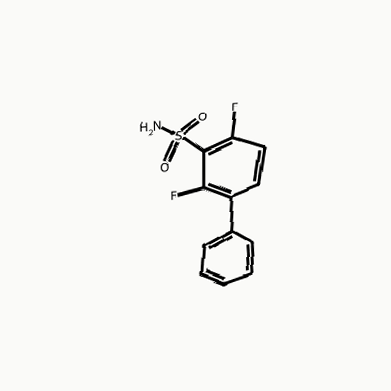 NS(=O)(=O)c1c(F)ccc(-c2ccccc2)c1F